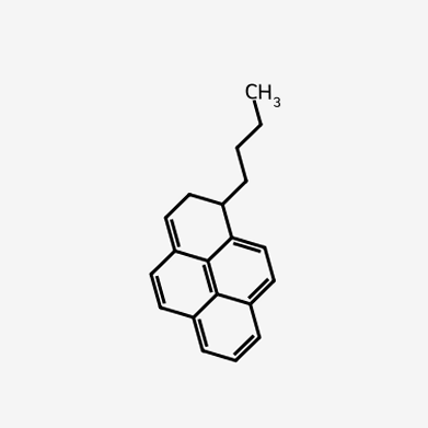 CCCCC1CC=c2ccc3cccc4ccc1c2c43